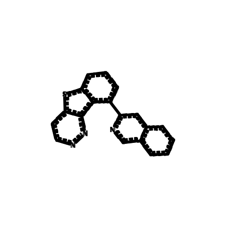 c1ccc2cc(-c3cccc4sc5ccnnc5c34)ncc2c1